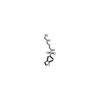 CC(C)CNCCCNS(=O)(=O)c1ccc2occc2c1